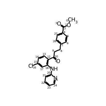 COC(=O)c1ccc(CCC(=O)c2ccc(Cl)cc2Nc2ccccn2)cc1